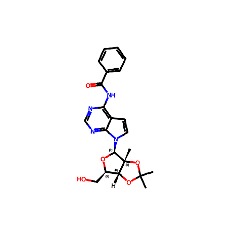 CC1(C)O[C@@H]2[C@@H](CO)O[C@@H](n3ccc4c(NC(=O)c5ccccc5)ncnc43)[C@]2(C)O1